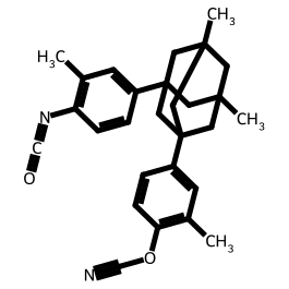 Cc1cc(C23CC4(C)CC(C)(C2)CC(c2ccc(OC#N)c(C)c2)(C4)C3)ccc1N=C=O